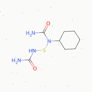 NC(=O)NSN(C(N)=O)C1CCCCC1